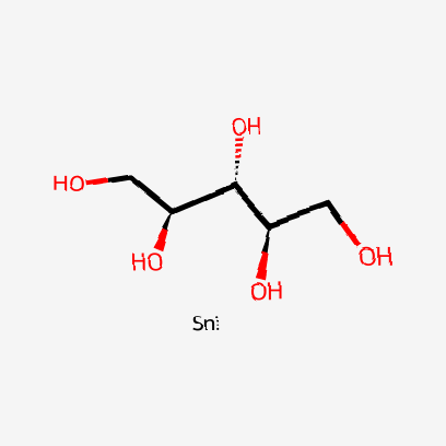 OC[C@@H](O)[C@@H](O)[C@@H](O)CO.[Sn]